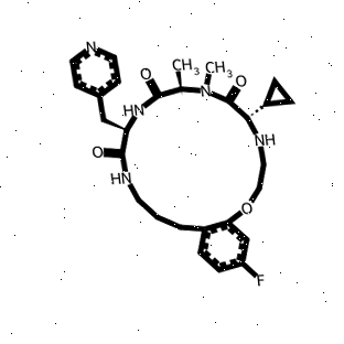 C[C@@H]1C(=O)N[C@H](Cc2ccncc2)C(=O)NCCCc2ccc(F)cc2OCCN[C@@H](C2CC2)C(=O)N1C